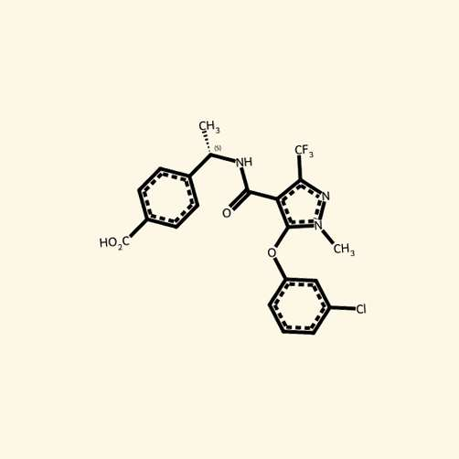 C[C@H](NC(=O)c1c(C(F)(F)F)nn(C)c1Oc1cccc(Cl)c1)c1ccc(C(=O)O)cc1